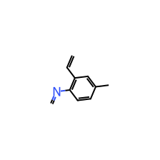 C=Cc1cc(C)ccc1N=C